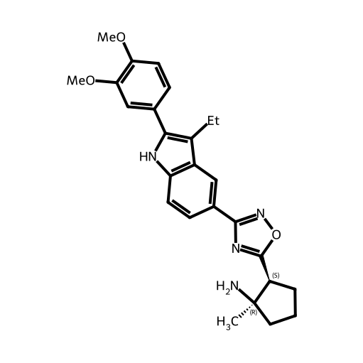 CCc1c(-c2ccc(OC)c(OC)c2)[nH]c2ccc(-c3noc([C@H]4CCC[C@@]4(C)N)n3)cc12